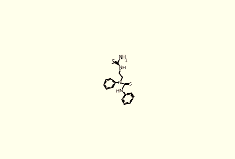 NC(=S)NCCN(C(=S)Nc1ccccc1)c1ccccc1